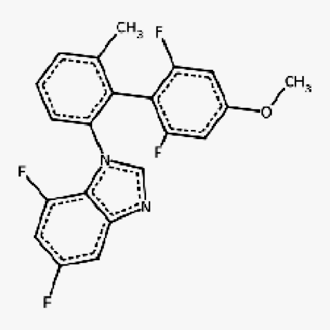 COc1cc(F)c(-c2c(C)cccc2-n2cnc3cc(F)cc(F)c32)c(F)c1